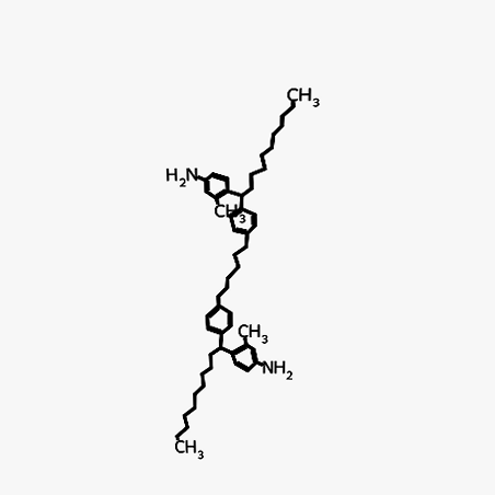 CCCCCCCCCCC(c1ccc(CCCCCCc2ccc(C(CCCCCCCCCC)c3ccc(N)cc3C)cc2)cc1)c1ccc(N)cc1C